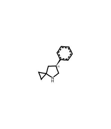 c1ccc([C@H]2CNC3(CC3)C2)cc1